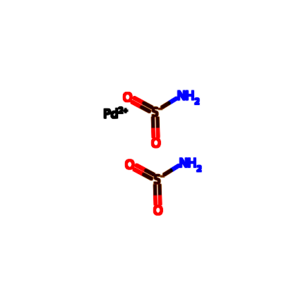 N[S-](=O)=O.N[S-](=O)=O.[Pd+2]